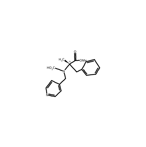 COC(=O)[C@](C)(Cc1ccccc1)N(Cc1ccncc1)C(=O)O